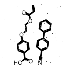 C=CC(=O)OCCOc1ccc(C(=O)O)cc1.N#Cc1ccc(-c2ccccc2)cc1